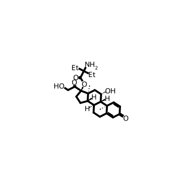 CCC(N)(CC)C(=O)O[C@]1(C(=O)CO)CC[C@H]2[C@@H]3CCC4=CC(=O)C=C[C@]4(C)[C@H]3[C@@H](O)C[C@@]21C